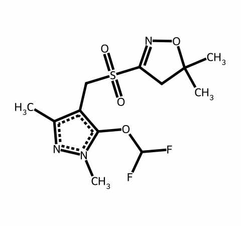 Cc1nn(C)c(OC(F)F)c1CS(=O)(=O)C1=NOC(C)(C)C1